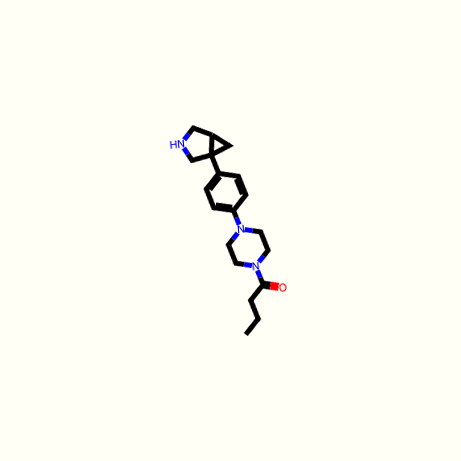 CCCC(=O)N1CCN(c2ccc(C34CNCC3C4)cc2)CC1